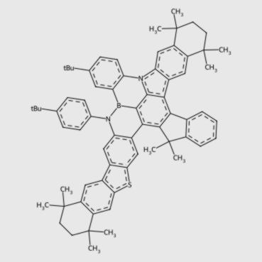 CC(C)(C)c1ccc(N2B3c4cc(C(C)(C)C)ccc4-n4c5cc6c(cc5c5c7c(c(c3c54)-c3cc4sc5cc8c(cc5c4cc32)C(C)(C)CCC8(C)C)C(C)(C)c2ccccc2-7)C(C)(C)CCC6(C)C)cc1